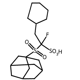 O=S(=O)(O)C(F)(CC1CCCCC1)S(=O)(=O)C12CC3CC(CC(C3)C1)C2